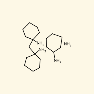 N.NC1(CC2(N)CCCCC2)CCCCC1.NC1CCCCC1